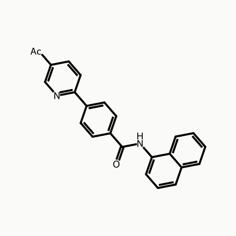 CC(=O)c1ccc(-c2ccc(C(=O)Nc3cccc4ccccc34)cc2)nc1